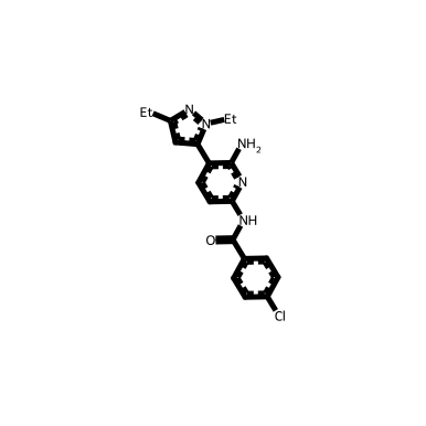 CCc1cc(-c2ccc(NC(=O)c3ccc(Cl)cc3)nc2N)n(CC)n1